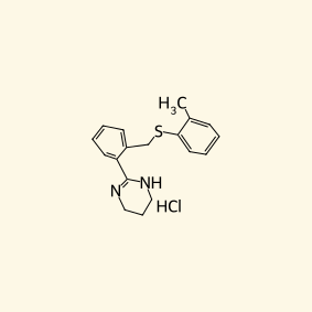 Cc1ccccc1SCc1ccccc1C1=NCCCN1.Cl